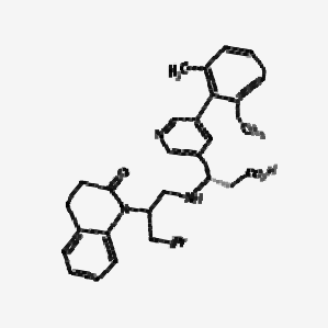 Cc1cccc(C)c1-c1cncc([C@H](CC(=O)O)NCC(CC(C)C)N2C(=O)CCc3ccccc32)c1